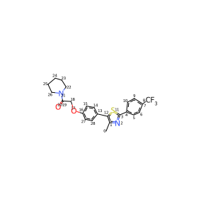 Cc1nc(-c2ccc(C(F)(F)F)cc2)sc1-c1ccc(OCC(=O)N2CCCCC2)cc1